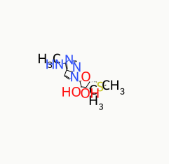 CNc1ncnc2c1ccn2[C@@H]1O[C@H](CSC)[C@@](C)(O)[C@H]1O